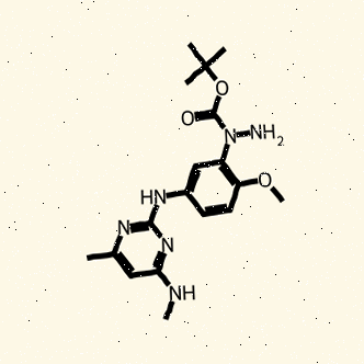 CNc1cc(C)nc(Nc2ccc(OC)c(N(N)C(=O)OC(C)(C)C)c2)n1